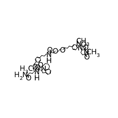 C[C@@H](OCc1ccc(CCCNC(=O)COCCOCCCc2ccc3c(c2)n(C)c(=O)n3C2CCC(=O)N(C)C2=O)cc1)[C@H](CCC(N)=O)NC(=O)[C@@H]1Cc2cccc3c2N1C(=O)CCC3